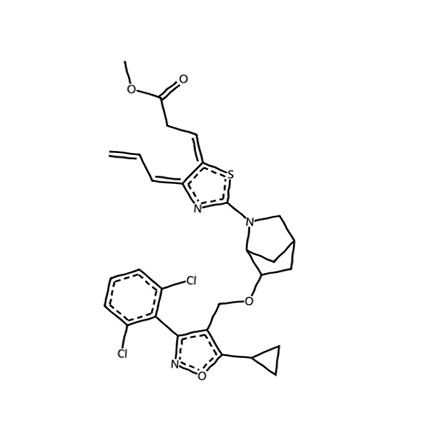 C=C/C=c1/nc(N2CC3CC(OCc4c(-c5c(Cl)cccc5Cl)noc4C4CC4)C2C3)s/c1=C/CC(=O)OC